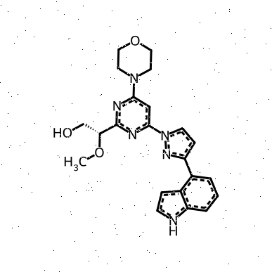 CO[C@H](CO)c1nc(N2CCOCC2)cc(-n2ccc(-c3cccc4[nH]ccc34)n2)n1